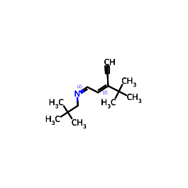 C#C/C(=C\C=N/CC(C)(C)C)C(C)(C)C